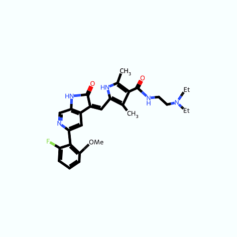 CCN(CC)CCNC(=O)c1c(C)[nH]c(C=C2C(=O)Nc3cnc(-c4c(F)cccc4OC)cc32)c1C